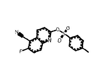 Cc1ccc(S(=O)(=O)Oc2ccc3c(C#N)c(F)ccc3n2)cc1